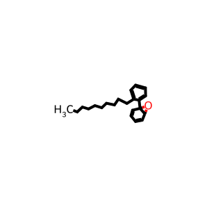 CCCCCCCCCCc1ccccc1C12C=CC=CC1O2